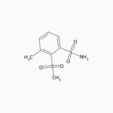 Cc1cccc(S(N)(=O)=O)c1S(C)(=O)=O